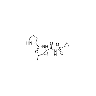 CC[C@@H]1C[C@]1(NC(=O)[C@@H]1CCCN1)C(=O)NS(=O)(=O)C1CC1